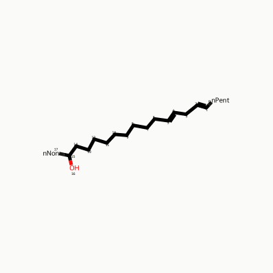 CCCCCC=CCC=CCCCCCCCCCC(O)CCCCCCCCC